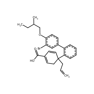 C=CCC1(c2ccccc2-c2ccc(OCC(C)CC)c(Br)c2)C=CC(C(=O)O)=CC1